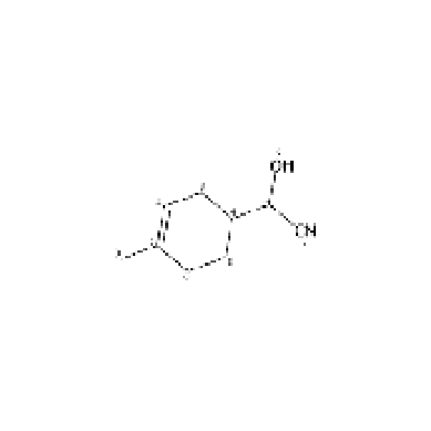 CC1=CCC(C(O)C#N)CC1